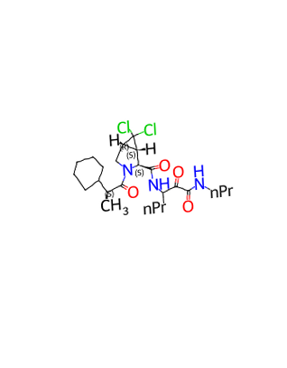 CCCNC(=O)C(=O)C(CCC)NC(=O)[C@@H]1[C@@H]2[C@H](CN1C(=O)[C@@H](C)C1CCCCC1)C2(Cl)Cl